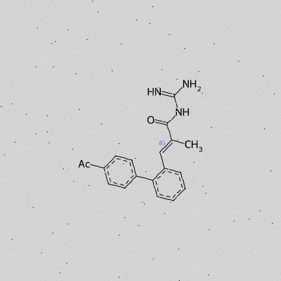 CC(=O)c1ccc(-c2ccccc2/C=C(\C)C(=O)NC(=N)N)cc1